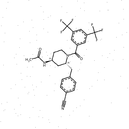 CC(=O)N[C@H]1CCN(C(=O)c2cc(C(F)(F)F)cc(C(F)(F)F)c2)[C@H](Cc2ccc(C#N)cc2)C1